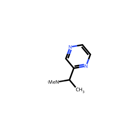 C[N]C(C)c1cnccn1